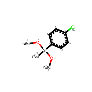 CCCCO[Si](CCCC)(OCCCC)c1ccc(Cl)cc1